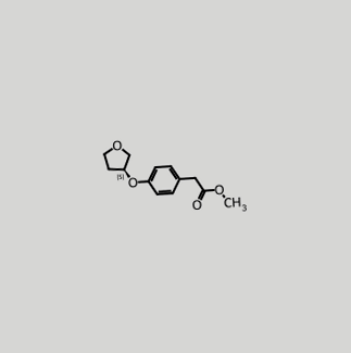 COC(=O)Cc1ccc(O[C@H]2CCOC2)cc1